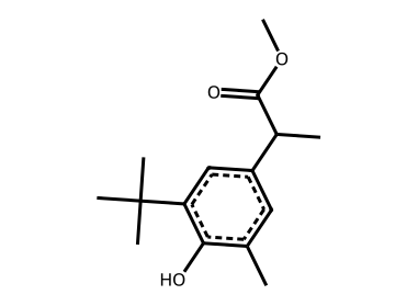 COC(=O)C(C)c1cc(C)c(O)c(C(C)(C)C)c1